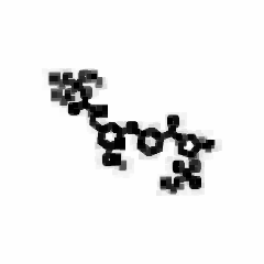 Cc1cc(CNC(=O)OC(C)(C)C)cc(Oc2cccc(C(=O)N3C[C@@H](F)[C@H](OS(C)(=O)=O)C3)c2)n1